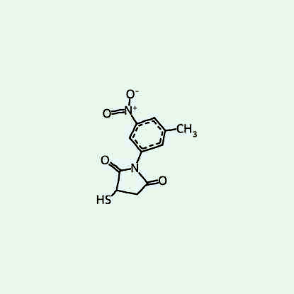 Cc1cc(N2C(=O)CC(S)C2=O)cc([N+](=O)[O-])c1